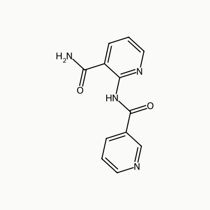 NC(=O)c1cccnc1NC(=O)c1cccnc1